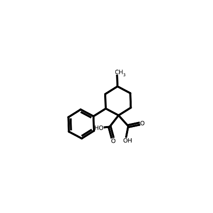 CC1CCC(C(=O)O)(C(=O)O)C(c2ccccc2)C1